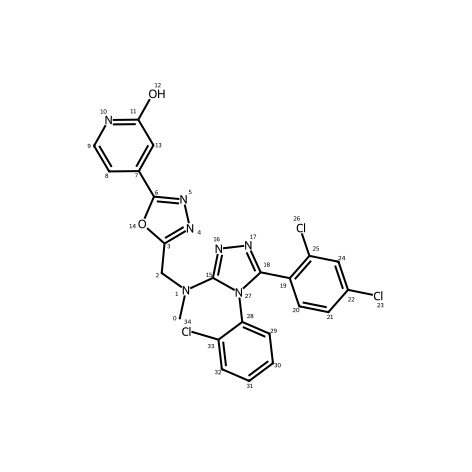 CN(Cc1nnc(-c2ccnc(O)c2)o1)c1nnc(-c2ccc(Cl)cc2Cl)n1-c1ccccc1Cl